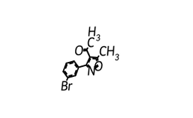 CC(=O)c1c(-c2cccc(Br)c2)noc1C